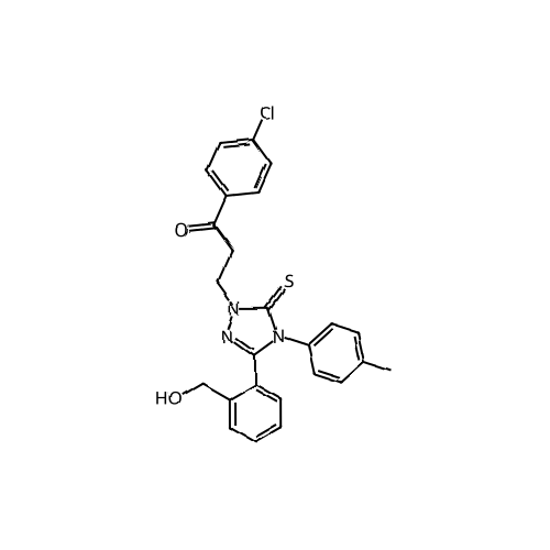 Cc1ccc(-n2c(-c3ccccc3CO)nn(CCC(=O)c3ccc(Cl)cc3)c2=S)cc1